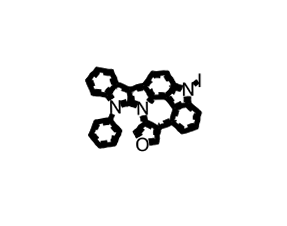 In1c2cccc3c4cocc4n4c5c(ccc1c5c32)c1c2ccccc2n(-c2ccccc2)c14